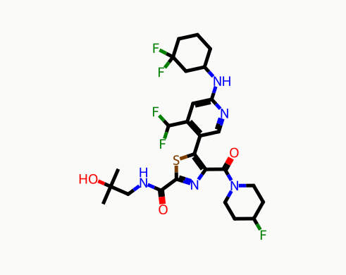 CC(C)(O)CNC(=O)c1nc(C(=O)N2CCC(F)CC2)c(-c2cnc(NC3CCCC(F)(F)C3)cc2C(F)F)s1